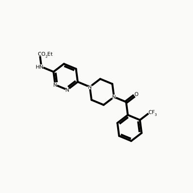 CCOC(=O)Nc1ccc(N2CCN(C(=O)c3ccccc3C(F)(F)F)CC2)nn1